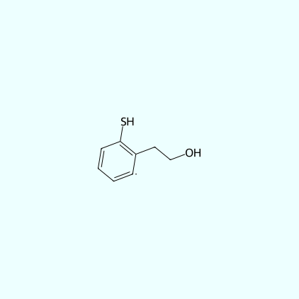 OCCc1[c]cccc1S